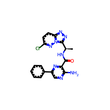 C[C@@H](NC(=O)c1nc(-c2ccccc2)cnc1N)c1nnc2ccc(Cl)nn12